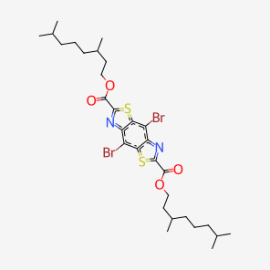 CC(C)CCCC(C)CCOC(=O)c1nc2c(Br)c3sc(C(=O)OCCC(C)CCCC(C)C)nc3c(Br)c2s1